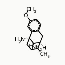 COc1ccc2c(c1)[C@]1(N)CCC(C)[C@H](C2)[C@@H]1N